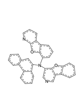 c1ccc2c(c1)cc(N(c1cncc3c1oc1ccccc13)c1cccc3c1oc1ncccc13)c1ccccc12